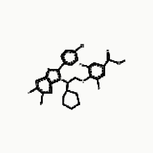 COC(=O)c1cc(F)c(OCC(C2CCCCC2)n2c(-c3ccc(Cl)cc3)nc3cc(F)c(F)cc32)c(Cl)c1